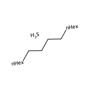 CCCCCCCCCCCCCCCC.S